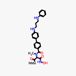 CNC(=O)C(C(=O)NO)N(C)C(=O)c1ccc(-c2ccc(NCCCNc3ccccc3)cc2)cc1